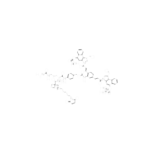 NC(=O)NCCC[C@H](NC(=O)C1(C(=O)NCCCCCN2C(=O)C=CC2=O)CCC1)C(=O)Nc1ccc(COC(=O)Nc2cc(/C=C/C(=O)N3C[C@@H](CCl)c4c3cc(OP(=O)(O)O)c3ccccc43)ccc2/C=C/C(=O)N2C[C@@H](CCl)c3c2cc(O[PH](=O)O)c2ccccc32)cc1